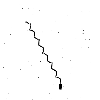 C#CCOCCOCCOCCOCCOSI